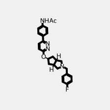 CC(=O)Nc1ccc(-c2ccc(O[C@H]3C[C@@H]4CN(Cc5ccc(F)cc5)C[C@@H]4C3)nn2)cc1